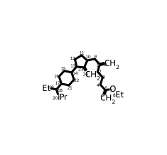 C=C(CCCC(=C)OCC)CC1CCC(C2CCC(C(CC)C(C)C)CC2)C1=C